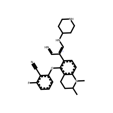 CC1CCc2c(ccc(/C(C=N)=C/NC3CCNCC3)c2Oc2cccc(F)c2C#N)N1C